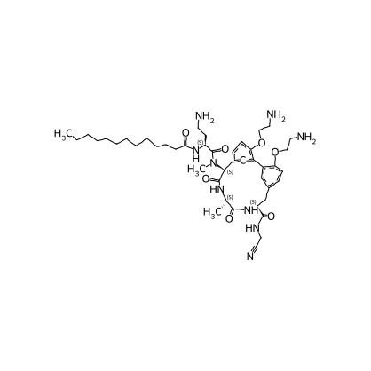 CCCCCCCCCCCCC(=O)N[C@@H](CCN)C(=O)N(C)[C@@H]1C(=O)N[C@@H](C)C(=O)N[C@H](C(=O)NCC#N)Cc2ccc(OCCN)c(c2)-c2cc1ccc2OCCN